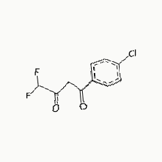 O=C(CC(=O)C(F)F)c1ccc(Cl)cc1